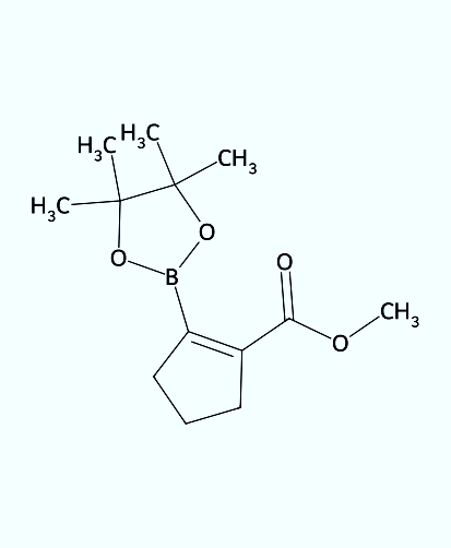 COC(=O)C1=C(B2OC(C)(C)C(C)(C)O2)CCC1